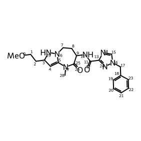 COCCC1C=C2N(CCC(NC(=O)c3ncn(Cc4ccccc4)n3)C(=O)N2C)N1